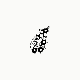 CC(O[Si](c1ccccc1)(c1ccccc1)C(C)(C)C)c1cccc(N2C(=O)N(c3ccc(Cl)cc3Cl)Cc3cnc(S(C)(=O)=O)nc32)c1